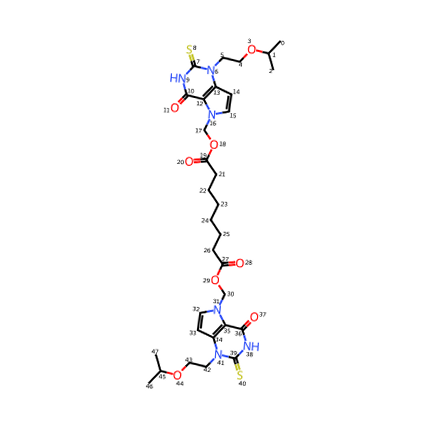 CC(C)OCCn1c(=S)[nH]c(=O)c2c1ccn2COC(=O)CCCCCCC(=O)OCn1ccc2c1c(=O)[nH]c(=S)n2CCOC(C)C